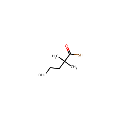 CC(C)(CCC=O)C(=O)S